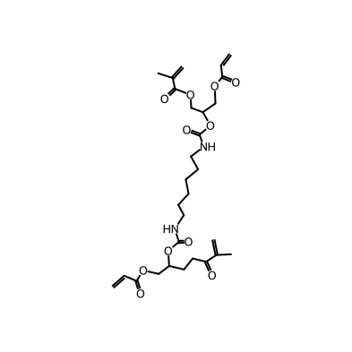 C=CC(=O)OCC(CCC(=O)C(=C)C)OC(=O)NCCCCCCNC(=O)OC(COC(=O)C=C)COC(=O)C(=C)C